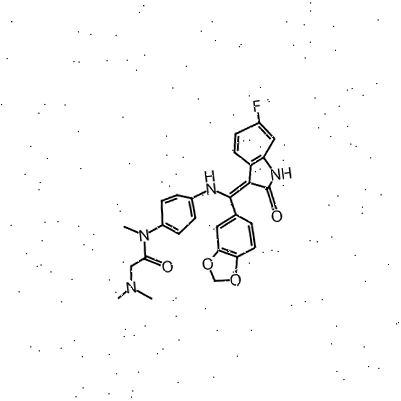 CN(C)CC(=O)N(C)c1ccc(NC(=C2C(=O)Nc3cc(F)ccc32)c2ccc3c(c2)OCO3)cc1